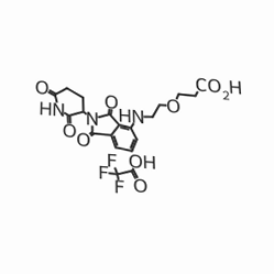 O=C(O)C(F)(F)F.O=C(O)CCOCCNc1cccc2c1C(=O)N(C1CCC(=O)NC1=O)C2=O